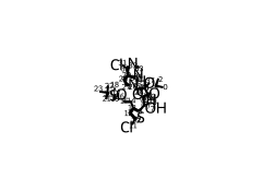 CC1(C)O[C@@H]2[C@@H]([C@@H](O)c3sc(Cl)cc3CCO[Si](C)(C)C(C)(C)C)OC(n3ccc4c(Cl)ncnc43)[C@@H]2O1